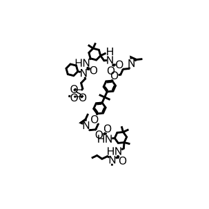 CCCCN(C)C(=O)NCC1(C)CC(NC(=O)OC(COc2ccc(C(C)(C)c3ccc(OCC(CN4CC4C)OC(=O)NCC4(C)CC(NC(=O)N(CCCS(=O)(=O)OC)C5CCCCC5)CC(C)(C)C4)cc3)cc2)CN2CC2C)CC(C)(C)C1